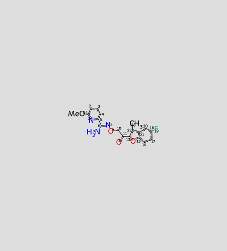 COc1cccc(C(N)=NOCC(=O)c2oc3ccc(F)cc3c2C)n1